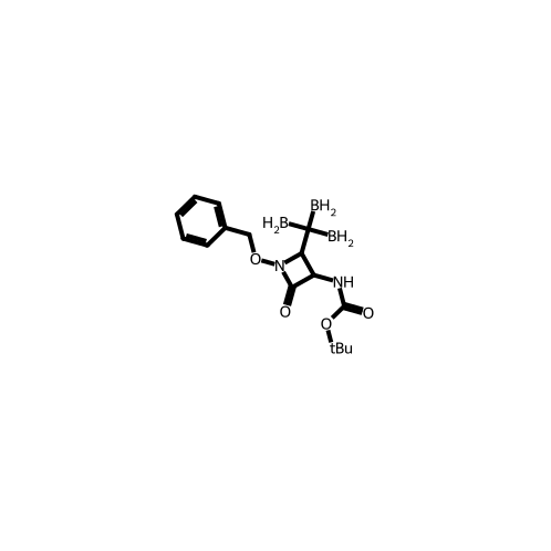 BC(B)(B)C1C(NC(=O)OC(C)(C)C)C(=O)N1OCc1ccccc1